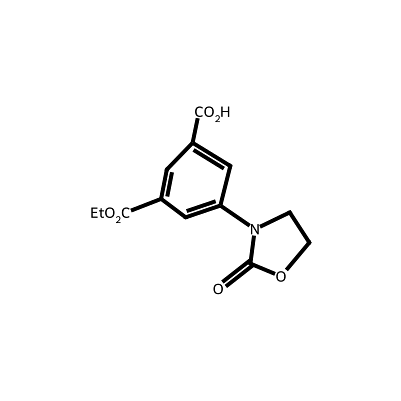 CCOC(=O)c1cc(C(=O)O)cc(N2CCOC2=O)c1